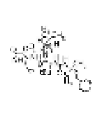 CC(C)(NC(=O)N[C@H](C(=O)N1C[C@H]2[C@@H]([C@H]1C(=O)NC(CC1CC1)C(=O)C(N)=O)C2(C)C)C(C)(C)C)SCc1ccccc1